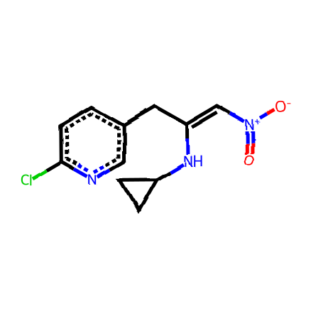 O=[N+]([O-])/C=C(/Cc1ccc(Cl)nc1)NC1CC1